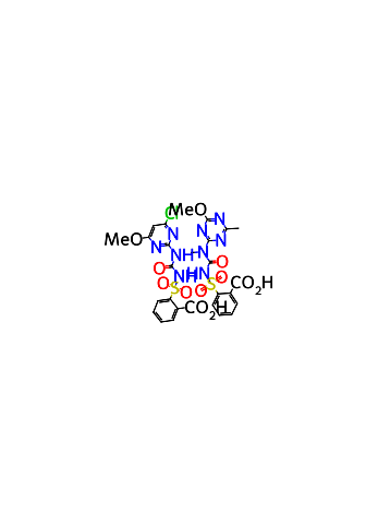 COc1cc(Cl)nc(NC(=O)NS(=O)(=O)c2ccccc2C(=O)O)n1.COc1nc(C)nc(N(C)C(=O)NS(=O)(=O)c2ccccc2C(=O)O)n1